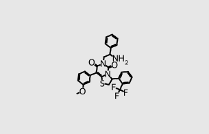 COc1cccc(-c2c3n(c(=O)n(CC(N)c4ccccc4)c2=O)C(c2ccccc2C(F)(F)F)CS3)c1